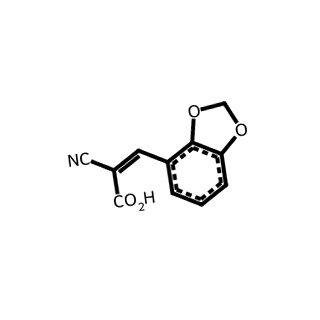 N#C/C(=C/c1cccc2c1OCO2)C(=O)O